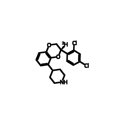 [2H][C@]1(c2ccc(Cl)cc2Cl)COc2cccc(C3CCNCC3)c2O1